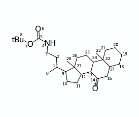 CC(CCNC(=O)OC(C)(C)C)C1CCC2C3C(=O)CC4CCCCC4(C)C3CCC12C